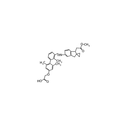 COC(=O)CC1c2ccc(NCc3cccc(-c4c(C)cc(OCC(=O)O)cc4C)c3C)cc2CC12CC2